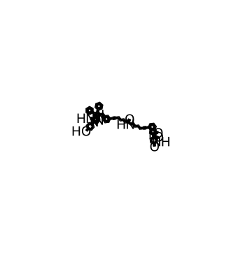 N=c1c2c(-c3ccccc3)c(-c3ccccc3)n(Cc3cccc(C#CCCCCC(=O)NCCCCC#Cc4cccc5c4CN(C4CCC(=O)NC4=O)C5=O)c3)c2ncn1C1CCC(O)CC1